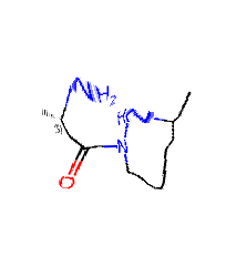 CC1CCCN(C(=O)[C@H](C)N)N1